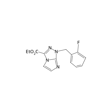 CCOC(=O)c1nn(Cc2ccccc2F)c2nccn12